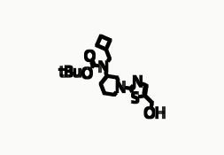 CC(C)(C)OC(=O)N(CC1CCC1)C1CCCN(c2ncc(CO)s2)C1